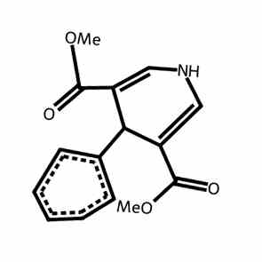 COC(=O)C1=CNC=C(C(=O)OC)C1c1ccccc1